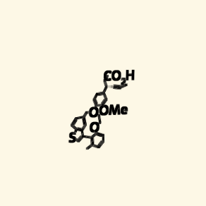 CC#C[C@@H](CC(=O)O)c1ccc(OCc2ccc3scc(-c4c(C)cccc4OCCOC)c3c2)cc1